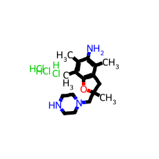 Cc1c(C)c2c(c(C)c1N)CC(C)(CN1CCNCC1)O2.Cl.Cl.Cl